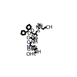 C#CCn1nnnc1SCC1=C(C(=O)OC(c2ccccc2)c2ccccc2)N2C(=O)C(NC(=O)/C(=N/OC)c3csc(NC=O)n3)[C@H]2SC1